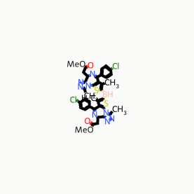 COC(=O)CC1N=C(c2ccc(Cl)cc2)c2c(sc(Bc3sc4c(c3C)C(c3ccc(Cl)cc3)=NC(CC(=O)OC)c3nnc(C)n3-4)c2C)-n2c(C)nnc21